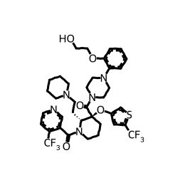 O=C(c1cnccc1C(F)(F)F)N1CCC[C@@](Oc2csc(C(F)(F)F)c2)(C(=O)N2CCN(c3ccccc3OCCO)CC2)[C@H]1CCN1CCCCC1